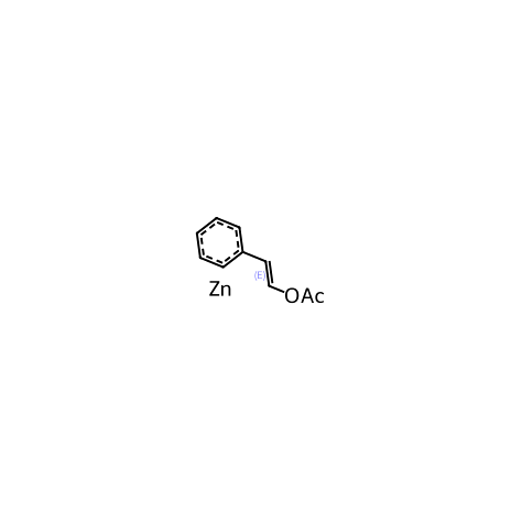 CC(=O)O/C=C/c1ccccc1.[Zn]